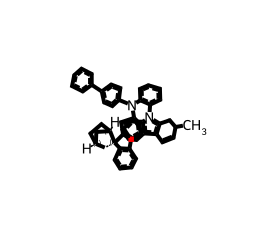 CC1C=Cc2c(n(-c3ccccc3N(c3ccc(-c4ccccc4)cc3)c3ccc4c(c3)[C@@]3(C[C@H]5CC[C@@H]3C5)c3ccccc3-4)c3ccccc23)C1